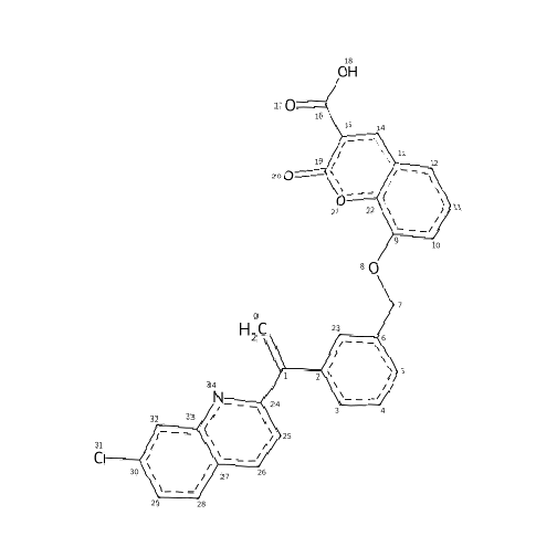 C=C(c1cccc(COc2cccc3cc(C(=O)O)c(=O)oc23)c1)c1ccc2ccc(Cl)cc2n1